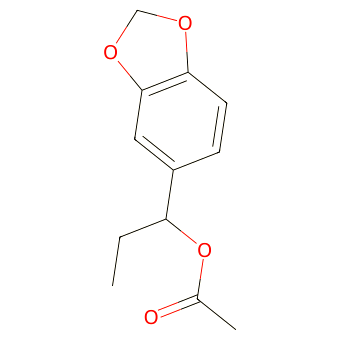 CCC(OC(C)=O)c1ccc2c(c1)OCO2